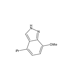 COc1ccc(C(C)C)c2c[nH]nc12